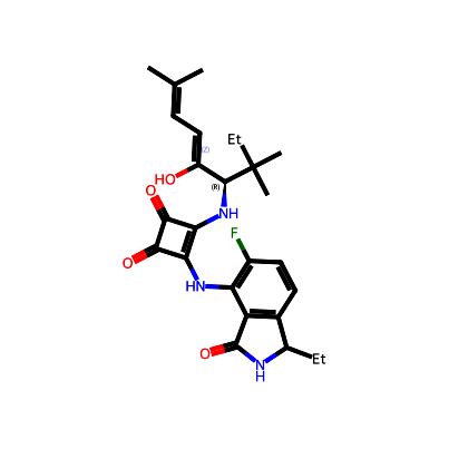 CCC1NC(=O)c2c1ccc(F)c2Nc1c(N[C@@H](/C(O)=C/C=C(C)C)C(C)(C)CC)c(=O)c1=O